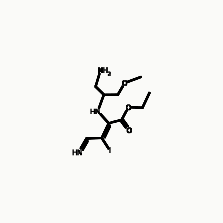 CCOC(=O)/C(NC(CN)COC)=C(\I)C=N